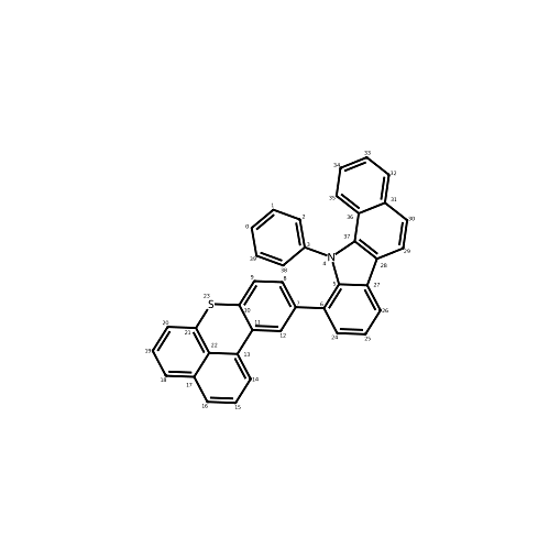 c1ccc(-n2c3c(-c4ccc5c(c4)-c4cccc6cccc(c46)S5)cccc3c3ccc4ccccc4c32)cc1